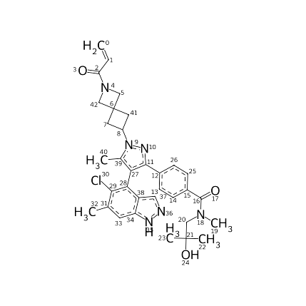 C=CC(=O)N1CC2(CC(n3nc(-c4ccc(C(=O)N(C)CC(C)(C)O)cc4)c(-c4c(Cl)c(C)cc5[nH]ncc45)c3C)C2)C1